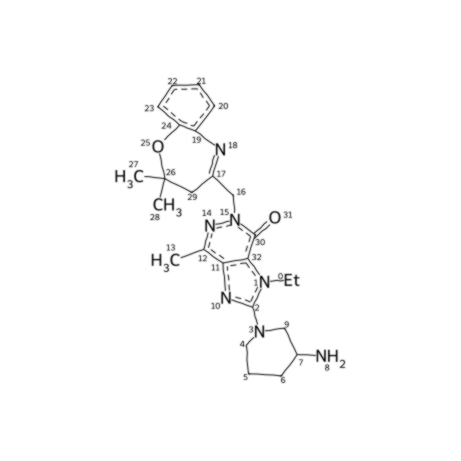 CCn1c(N2CCCC(N)C2)nc2c(C)nn(CC3=Nc4ccccc4OC(C)(C)C3)c(=O)c21